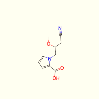 COC(CC#N)Cn1cccc1C(=O)O